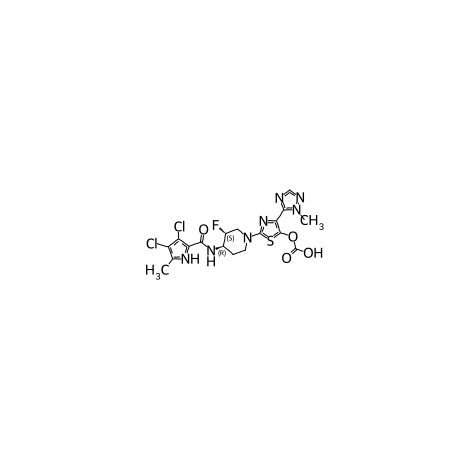 Cc1[nH]c(C(=O)N[C@@H]2CCN(c3nc(-c4ncnn4C)c(OC(=O)O)s3)C[C@@H]2F)c(Cl)c1Cl